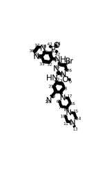 COc1cc(N2CCC(N3CCN(C)CC3)CC2)c(C#N)cc1Nc1ncc(Br)c(Nc2ccc3nccnc3c2P(C)(C)=O)n1